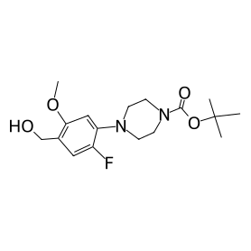 COc1cc(N2CCN(C(=O)OC(C)(C)C)CC2)c(F)cc1CO